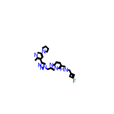 Cc1ncc(N2CCCC2)cc1-c1cn(Cc2cn3cc(CNCC45CC(F)(C4)C5)ccc3n2)nn1